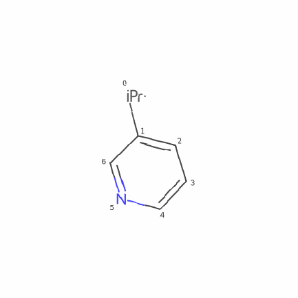 C[C](C)c1cccnc1